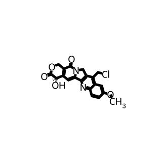 COc1ccc2nc3c(c(CCl)c2c1)Cn1c-3cc2c(c1=O)COC(=O)[C@H]2O